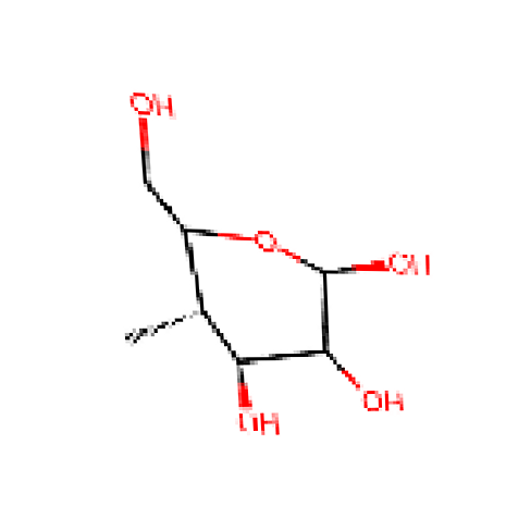 C[C@@H]1C(CO)O[C@@H](O)C(O)[C@H]1O